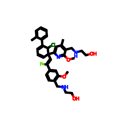 COc1cc(/C(F)=C/C2(c3cc(C)c(CNCCO)c(OC)n3)C=CC=C(c3ccccc3C)C2Cl)ccc1CNCCO